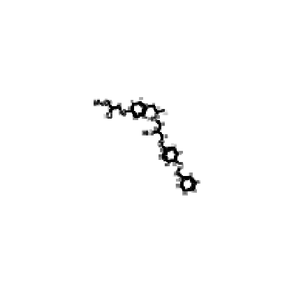 COC(=O)COc1ccc(CC(C)NCC(O)COc2ccc(OCc3ccccc3)cc2)cc1